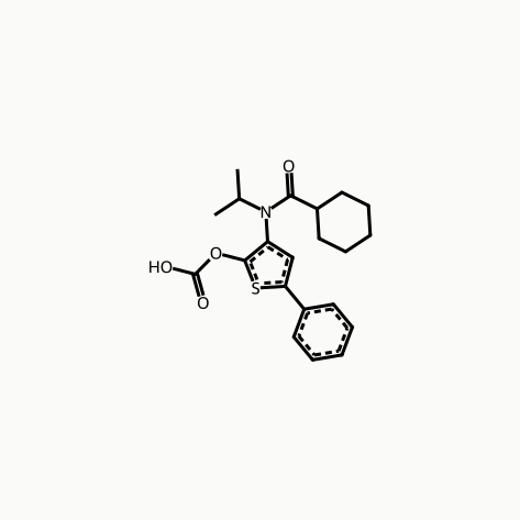 CC(C)N(C(=O)C1CCCCC1)c1cc(-c2ccccc2)sc1OC(=O)O